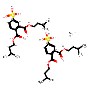 CC(C)CCOC(=O)c1ccc(S(=O)(=O)[O-])cc1C(=O)OCCC(C)C.CC(C)CCOC(=O)c1ccc(S(=O)(=O)[O-])cc1C(=O)OCCC(C)C.[Mg+2]